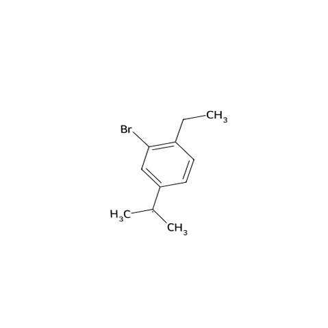 CCc1ccc([C](C)C)cc1Br